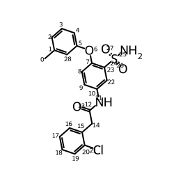 Cc1cccc(Oc2ccc(NC(=O)Cc3ccccc3Cl)cc2S(N)(=O)=O)c1